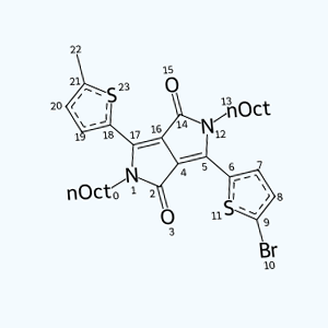 CCCCCCCCN1C(=O)C2=C(c3ccc(Br)s3)N(CCCCCCCC)C(=O)C2=C1c1ccc(C)s1